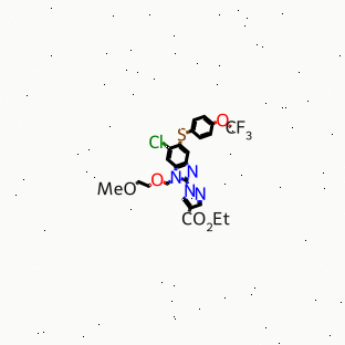 CCOC(=O)c1cnn(-c2nc3cc(Sc4ccc(OC(F)(F)F)cc4)c(Cl)cc3n2COCCOC)c1